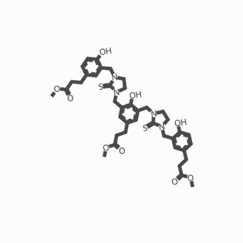 COC(=O)CCc1ccc(O)c(CN2CCN(Cc3cc(CCC(=O)OC)cc(CN4CCN(Cc5cc(CCC(=O)OC)ccc5O)C4=S)c3O)C2=S)c1